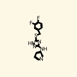 Fc1ccc(CSc2nc(Nc3cccnc3)n[nH]2)cc1F